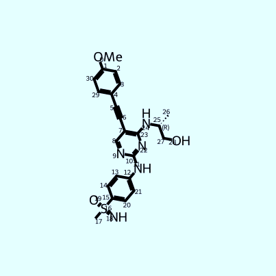 COc1ccc(C#Cc2cnc(Nc3ccc(S(C)(=N)=O)cc3)nc2N[C@H](C)CO)cc1